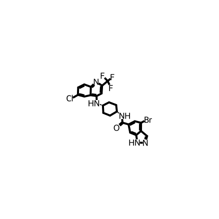 O=C(N[C@H]1CC[C@@H](Nc2cc(C(F)(F)F)nc3ccc(Cl)cc23)CC1)c1cc(Br)c2cn[nH]c2c1